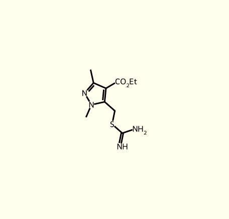 CCOC(=O)c1c(C)nn(C)c1CSC(=N)N